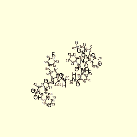 CC(C(=O)NC(C(=O)N1Cc2ccccc2[C@H]1C(=O)Nc1cc(C(=O)NCCNC(=O)C2(C)CN(C(=O)CN3CC(C)N(C(=O)O)CC3CN3CCOC[C@H]3C)c3cc(Cc4ccc(F)cc4)ccc32)ccc1F)C1CCOCC1)N(C)C(=O)OC(C)(C)C